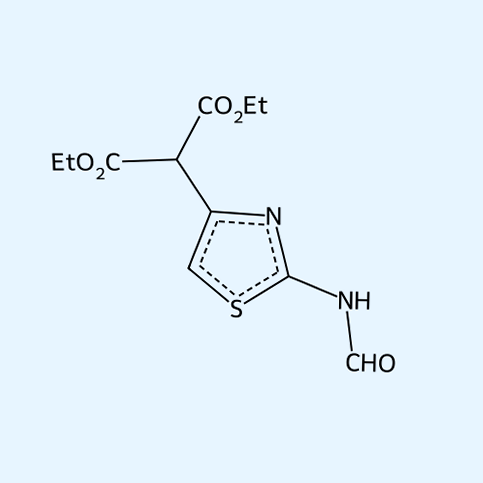 CCOC(=O)C(C(=O)OCC)c1csc(NC=O)n1